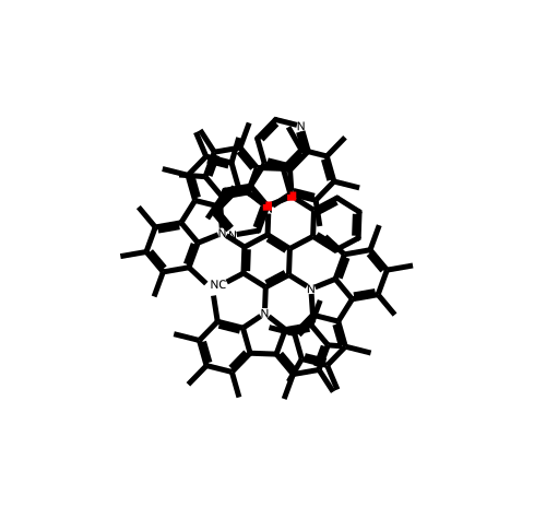 Cc1c(C)c(C)c2c(c1C)c1c(C)c(C)c(C)c(C)c1n2-c1c(C#N)c(-n2c3c(C)c(C)c(C)c(C)c3c3c(C)c(C)c(C)c(C)c32)c(-n2c3c(C)c(C)c(C)c(C)c3c3c(C)c(C)c(C)c(C)c32)c(-c2ccccc2-n2c3cnccc3c3ccncc32)c1-n1c2c(C)c(C)c(C)c(C)c2c2c(C)c(C)c(C)c(C)c21